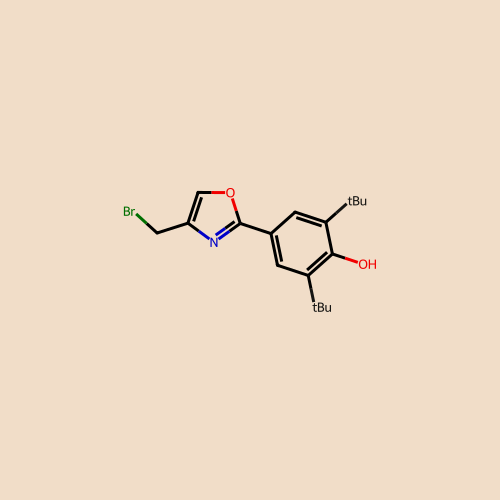 CC(C)(C)c1cc(-c2nc(CBr)co2)cc(C(C)(C)C)c1O